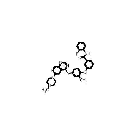 Cc1cc(Nc2ncnc3cnc(N4CCN(C)CC4)cc23)ccc1Oc1cccc(C(=O)Nc2ccccc2F)c1